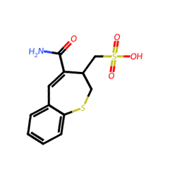 NC(=O)C1=Cc2ccccc2SCC1CS(=O)(=O)O